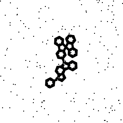 c1ccc(-n2ccc3c4c5ccccc5n(-c5ccc6c(c5)C5(c7ccccc7-c7ccccc75)c5ccccc5-6)c4ccc32)cc1